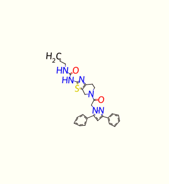 C=CCNC(=O)Nc1nc2c(s1)CN(C(=O)Cn1nc(-c3ccccc3)cc1-c1ccccc1)CC2